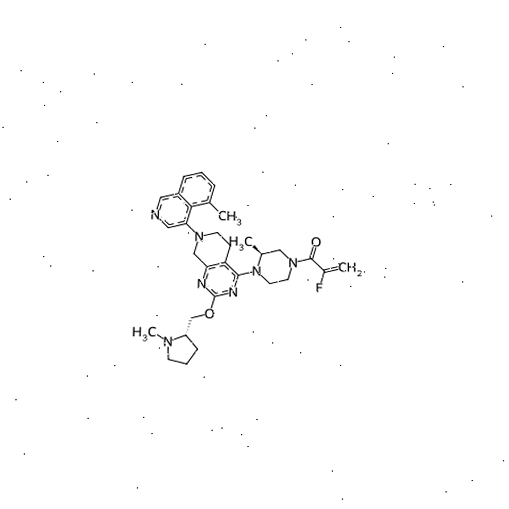 C=C(F)C(=O)N1CCN(c2nc(OC[C@@H]3CCCN3C)nc3c2CCN(c2cncc4cccc(C)c24)C3)[C@@H](C)C1